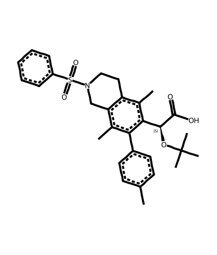 Cc1ccc(-c2c(C)c3c(c(C)c2[C@H](OC(C)(C)C)C(=O)O)CCN(S(=O)(=O)c2ccccc2)C3)cc1